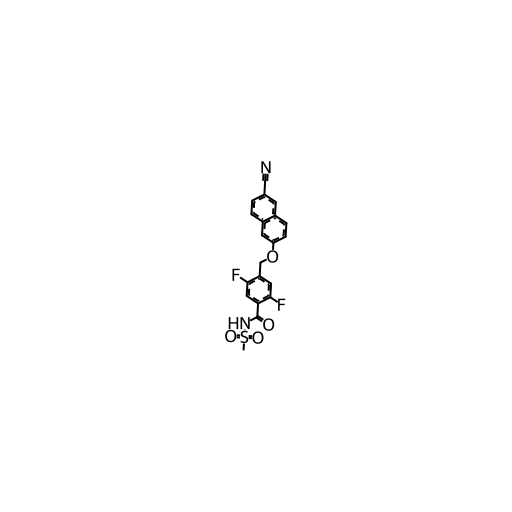 CS(=O)(=O)NC(=O)c1cc(F)c(COc2ccc3cc(C#N)ccc3c2)cc1F